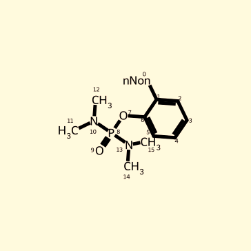 CCCCCCCCCc1ccccc1OP(=O)(N(C)C)N(C)C